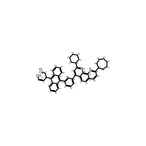 C/C=C\C(CC)c1c2ccccc2c(-c2cccc(-c3cc(C4CCCCC4)nc4c3ccc3ccc(C5CCCCCC5)nc34)c2)c2ccccc12